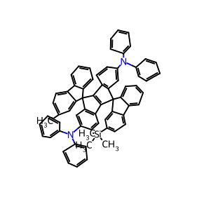 Cc1ccc2c(c1)C1(C3=C(c4ccc(N(c5ccccc5)c5ccccc5)cc41)C1(c4cc(N(c5ccccc5)c5ccccc5)ccc43)c3ccccc3-c3ccc([Si](C)(C)C)cc31)c1ccccc1-2